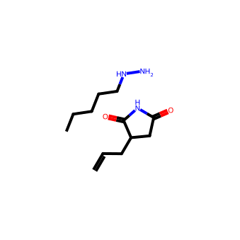 C=CCC1CC(=O)NC1=O.CCCCCNN